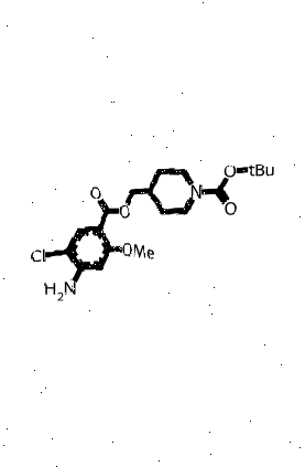 COc1cc(N)c(Cl)cc1C(=O)OCC1CCN(C(=O)OC(C)(C)C)CC1